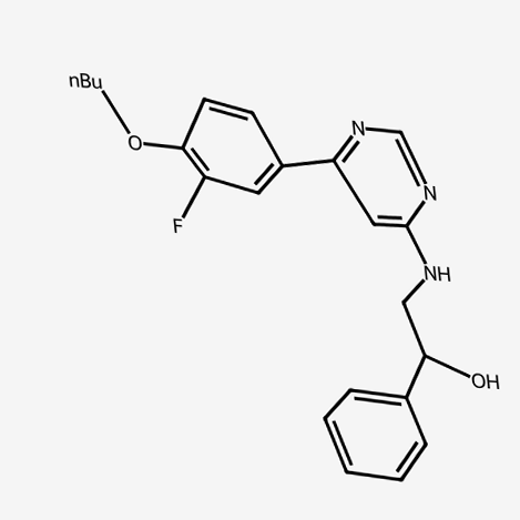 CCCCOc1ccc(-c2cc(NCC(O)c3ccccc3)ncn2)cc1F